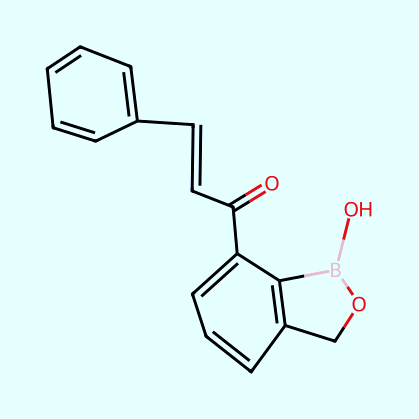 O=C(/C=C/c1ccccc1)c1cccc2c1B(O)OC2